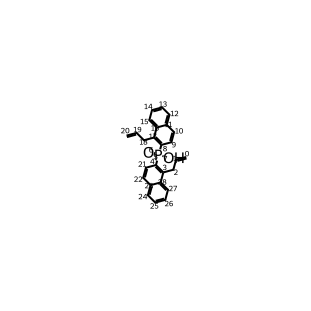 C=CCc1c(P(=O)(O)c2ccc3ccccc3c2CC=C)ccc2ccccc12